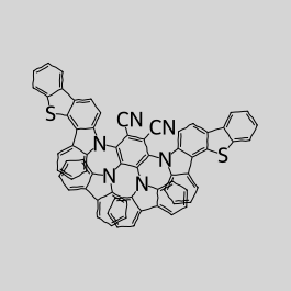 N#Cc1c(C#N)c(-n2c3ccccc3c3c4sc5ccccc5c4ccc32)c(-n2c3ccccc3c3ccccc32)c(-n2c3ccccc3c3ccccc32)c1-n1c2ccccc2c2c3sc4ccccc4c3ccc21